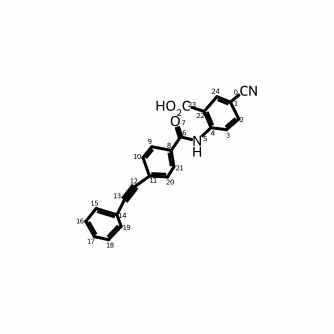 N#Cc1ccc(NC(=O)c2ccc(C#Cc3ccccc3)cc2)c(C(=O)O)c1